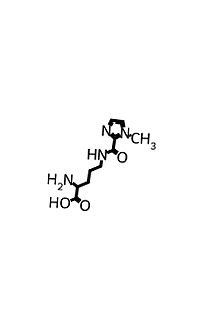 Cn1ccnc1C(=O)NCCCC(N)C(=O)O